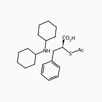 C1CCC(NC2CCCCC2)CC1.CC(=O)S[C@@H](Cc1ccccc1)C(=O)O